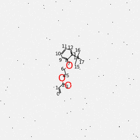 C=CC(=O)OCCOc1ccccc1C(C)(C)C